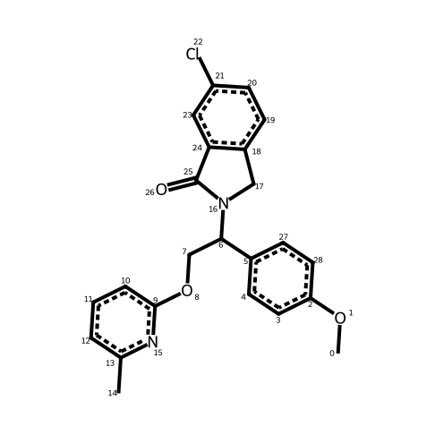 COc1ccc(C(COc2cccc(C)n2)N2Cc3ccc(Cl)cc3C2=O)cc1